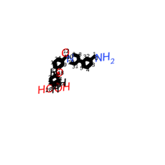 NCc1cccc(C2CCN(C(=O)c3cccc(O[C@H]4CC5CCC4[C@@H](O)[C@H]5O)c3)CC2)c1